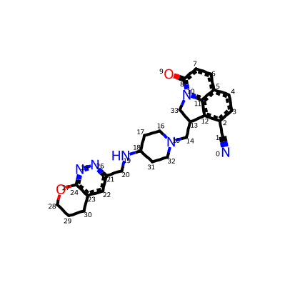 N#Cc1ccc2ccc(=O)n3c2c1C(CN1CCC(NCc2cc4c(nn2)OCCC4)CC1)C3